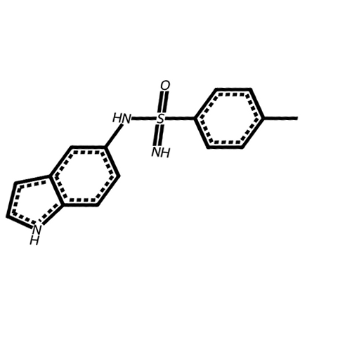 Cc1ccc(S(=N)(=O)Nc2ccc3[nH]ccc3c2)cc1